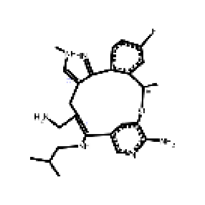 CN/C=C1/C/C(CN)=C(/NCC(C)C)c2cnc(N)c(c2)O[C@H](C)c2cc(F)ccc2C1=N